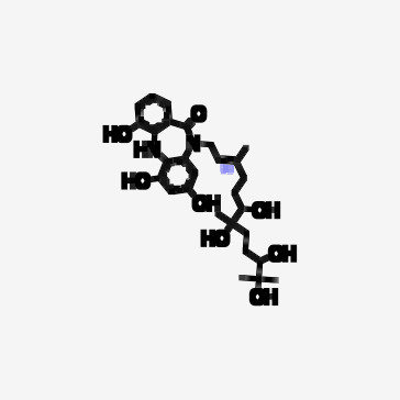 C/C(=C\CN1C(=O)c2cccc(O)c2Nc2c(O)cc(O)cc21)CCC(O)C(C)(O)CCC(O)C(C)(C)O